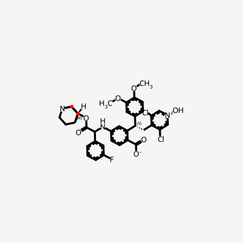 COc1ccc([C@H](Cc2c(Cl)c[n+](O)cc2Cl)c2cc(NC(C(=O)O[C@H]3CN4CCC3CC4)c3cccc(F)c3)ccc2C(=O)[O-])cc1OC